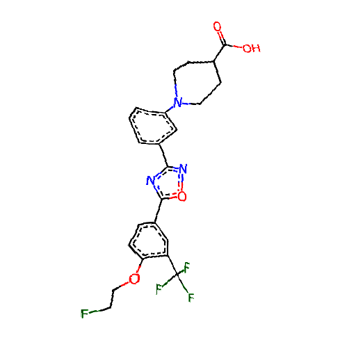 O=C(O)C1CCN(c2cccc(-c3noc(-c4ccc(OCCF)c(C(F)(F)F)c4)n3)c2)CC1